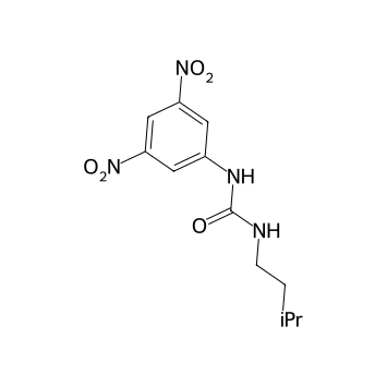 CC(C)CCNC(=O)Nc1cc([N+](=O)[O-])cc([N+](=O)[O-])c1